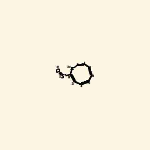 O=[S+]c1cccccccs1